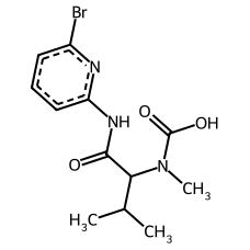 CC(C)C(C(=O)Nc1cccc(Br)n1)N(C)C(=O)O